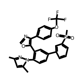 Cc1cc(C)n(-c2ccc(-c3cccc(S(C)(=O)=O)c3)cc2-c2ocnc2-c2ccc(OC(F)(F)F)cc2)n1